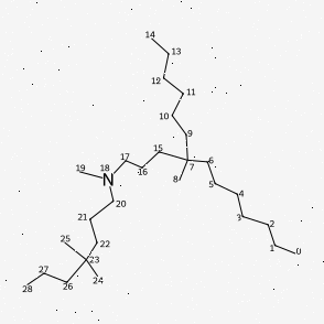 CCCCCCCC(C)(CCCCCC)CCCN(C)CCCC(C)(C)CCC